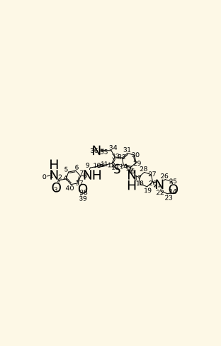 CNC(=O)c1ccc(NCC#Cc2sc3c(NC4CCC(N5CCOCC5)CC4)cccc3c2CC#N)c(OC)c1